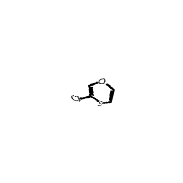 ClC1=COC=CS1